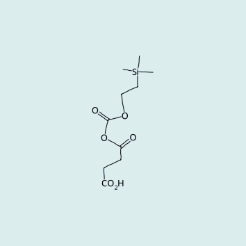 C[Si](C)(C)CCOC(=O)OC(=O)CCC(=O)O